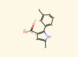 Cc1cccc(-c2[nH]c(C)cc2C(=O)O)c1